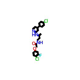 C=C(CCNC(=O)COc1ccc(Cl)c(F)c1)Nc1cc(-c2ccc(Cl)cc2)ccn1